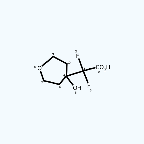 O=C(O)C(F)(F)C1(O)CCOCC1